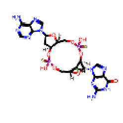 Nc1nc2c(ncn2[C@@H]2O[C@@H]3COP(O)(=S)O[C@H]4CC(n5cnc6c(N)ncnc65)O[C@@H]4COP(O)(=S)O[C@@H]2[C@@H]3F)c(=O)[nH]1